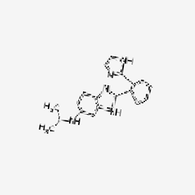 CC(C)Nc1ccc2nc(-c3ccccc3-c3ncc[nH]3)[nH]c2c1